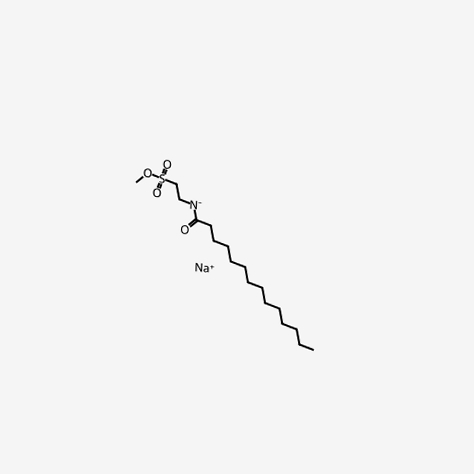 CCCCCCCCCCCCCC(=O)[N-]CCS(=O)(=O)OC.[Na+]